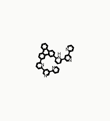 C1=CC(c2ccc3c4ccccc4c4ccc(-c5cccc(-c6cncc(-c7ccccn7)c6)n5)cc4c3c2)NC(c2cncc(-c3ccccn3)c2)=C1